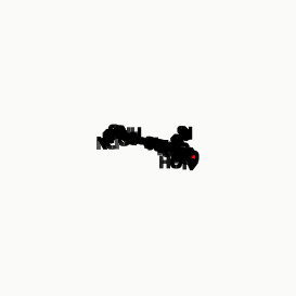 Cc1ncsc1-c1ccc([C@H](CC(=O)N2CCC(N3CCC(C#Cc4ccc(C(=O)NC5C(C)(C)C(Oc6ccc(C#N)c(Cl)c6)C5(C)C)cc4)CC3)CC2)NC(=O)[C@@H]2C[C@@H](O)CN2C(=O)[C@@H](NC(=O)C2(F)CC2)C(C)(C)C)cc1